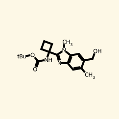 Cc1cc2nc(C3(NC(=O)OC(C)(C)C)CCC3)n(C)c2cc1CO